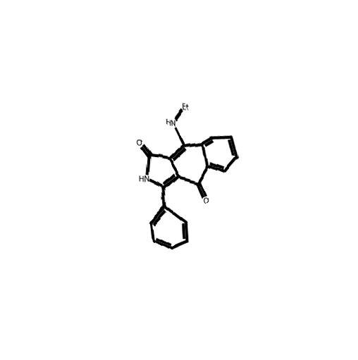 CCNC1=C2C(=O)NC(c3ccccc3)=C2C(=O)c2ccccc21